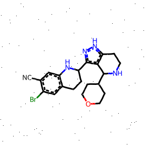 N#Cc1cc2c(cc1Br)CCC(c1n[nH]c3c1C(C1CCOCC1)NCC3)N2